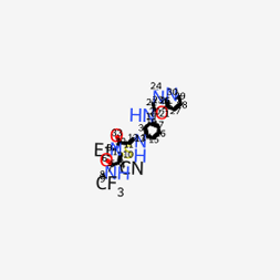 CCn1c(=C(C#N)C(=O)NCC(F)(F)F)sc(=CNc2cccc(NC(=O)CN(C)c3ccccn3)c2)c1=O